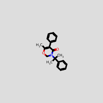 CC1=C(c2ccccc2)C(=O)N(C(C)(C)c2ccccc2)CO1